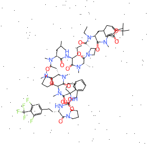 CC[C@H](C)[C@H](NC(=O)[C@H](CC(C)C)N(C)C(=O)C[C@@H](C(=O)N(C)C)N(C)C(=O)[C@H](C1CCCC1)N(C)C(=O)C1(NC(=O)[C@@H]2CCCN2C(=O)[C@H](CCc2cc(F)c(C(F)(F)F)c(F)c2)NC(=O)OCc2ccccc2)CCCC1)C(=O)N(C)[C@@H](C)C(=O)N1CC[C@H]1C(=O)N(CC)[C@@H](CC1C=CC(C)=CC1)C(=O)N(C)CC(=O)OC(C)(C)C